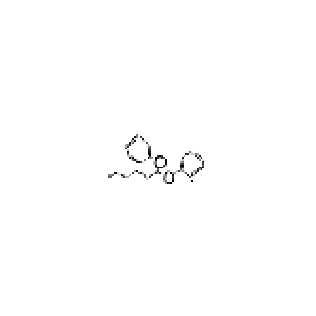 CCCCCC(Oc1[c]cccc1)Oc1ccccc1